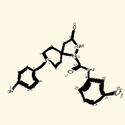 O=Nc1ccc(N2CCC3(CC2)CC(=O)NN3C(=O)Nc2cccc(C(F)(F)F)c2)cc1